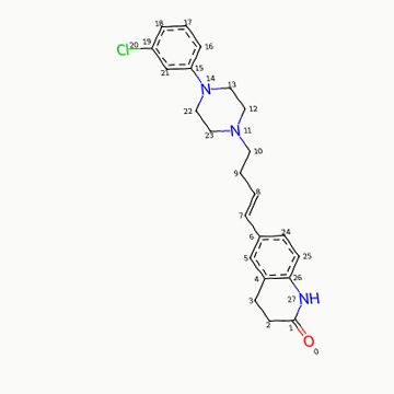 O=C1CCc2cc(C=CCCN3CCN(c4cccc(Cl)c4)CC3)ccc2N1